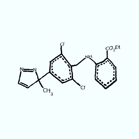 CCOC(=O)c1ccccc1Nc1c(Cl)cc(C2(C)C=CN=N2)cc1Cl